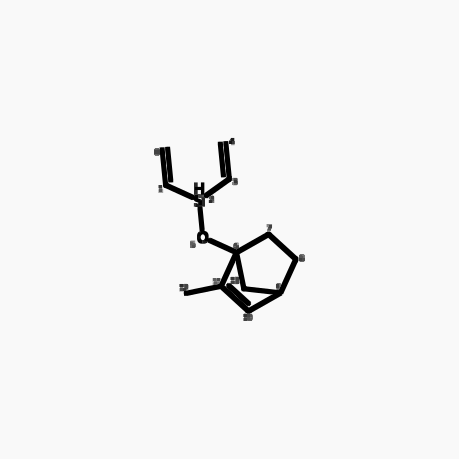 C=C[SiH](C=C)OC12CCC(C=C1C)C2